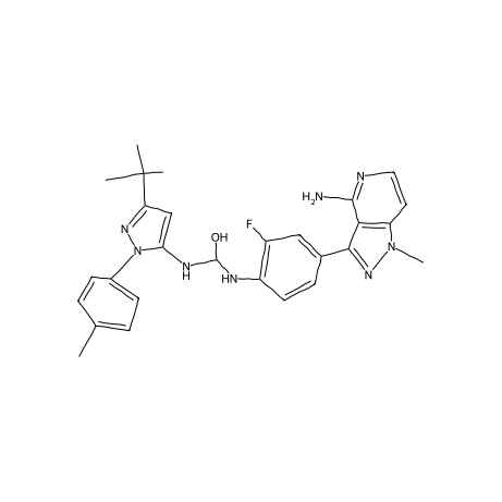 Cc1ccc(-n2nc(C(C)(C)C)cc2NC(O)Nc2ccc(-c3nn(C)c4ccnc(N)c34)cc2F)cc1